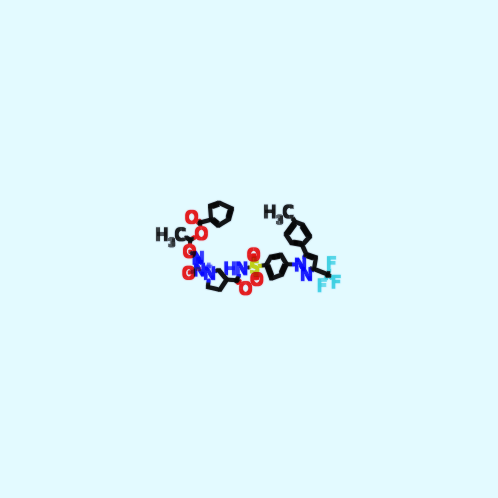 Cc1ccc(-c2cc(C(F)(F)F)nn2-c2ccc(S(=O)(=O)NC(=O)C3CCN([N+]([O-])=NOC(C)OC(=O)c4ccccc4)C3)cc2)cc1